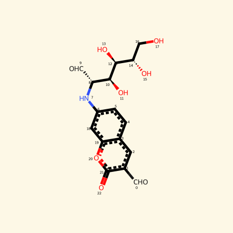 O=Cc1cc2ccc(N[C@H](C=O)[C@H](O)[C@@H](O)[C@@H](O)CO)cc2oc1=O